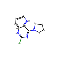 Clc1nc(N2CCCC2)c2ncccc2n1